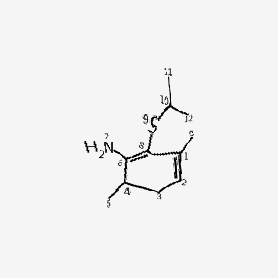 CC1=CCC(C)C(N)=C1SC(C)C